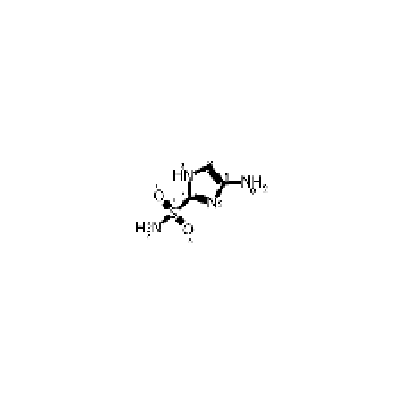 Nc1c[nH]c(S(N)(=O)=O)n1